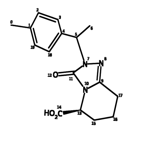 Cc1ccc(C(C)n2nc3n(c2=O)[C@H](C(=O)O)CCC3)cc1